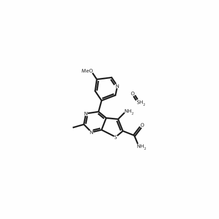 COc1cncc(-c2nc(C)nc3sc(C(N)=O)c(N)c23)c1.O=[SH2]